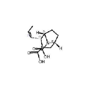 C/C=C\[C@@H]1[C@@H]2CC[C@H](CN1C(=O)O)N2C(=O)O